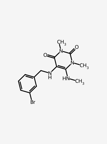 CNc1c(NCc2cccc(Br)c2)c(=O)n(C)c(=O)n1C